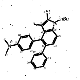 CCCCn1c(CC)c(C)c2c(-c3ccc(N(C)C)cc3)c(-c3ccccc3)ccc21